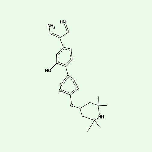 CC1(C)CC(Oc2ccc(-c3ccc(/C(C=N)=C/N)cc3O)nn2)CC(C)(C)N1